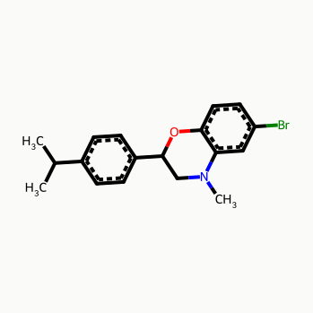 CC(C)c1ccc(C2CN(C)c3cc(Br)ccc3O2)cc1